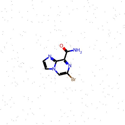 NC(=O)c1nc(Br)cn2[c]cnc12